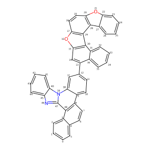 c1ccc2c(c1)ccc1c3ccc(-c4cc5oc6ccc7oc8ccccc8c7c6c5c5ccccc45)cc3n3c4ccccc4nc3c21